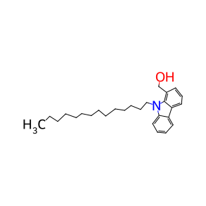 CCCCCCCCCCCCCCn1c2ccccc2c2cccc(CO)c21